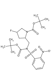 CC(C)(C)OC(=O)N1CC(F)CC1CN(C(=O)OC(C)(C)C)S(=O)(=O)c1ccccc1[N+](=O)[O-]